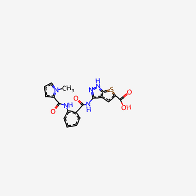 Cn1cccc1C(=O)Nc1ccccc1C(=O)Nc1n[nH]c2sc(C(=O)O)cc12